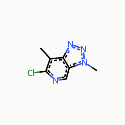 Cc1c(Cl)ncc2c1nnn2C